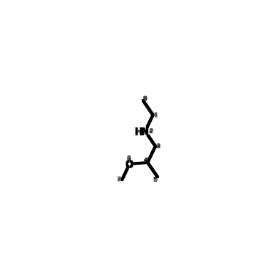 CCNCC(C)OC